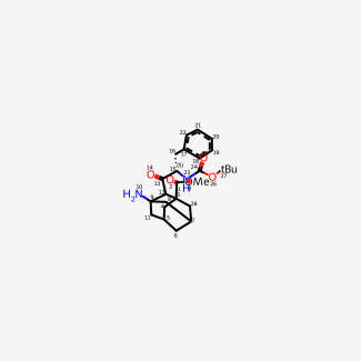 COC(=O)C12CC3CC(CC(N)(C3)C1C(=O)[C@H](Cc1ccccc1)NC(=O)OC(C)(C)C)C2